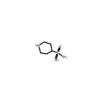 N=S(N)(=O)C1CCNCC1